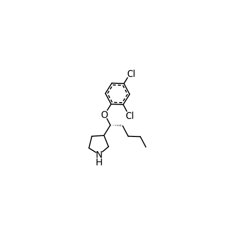 CCCC[C@@H](Oc1ccc(Cl)cc1Cl)C1CCNC1